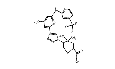 Cc1cc(Nc2cc(C(F)(F)F)ccn2)nc(-c2cn(C3CCC(C(=O)O)CC3(C)C)nn2)c1